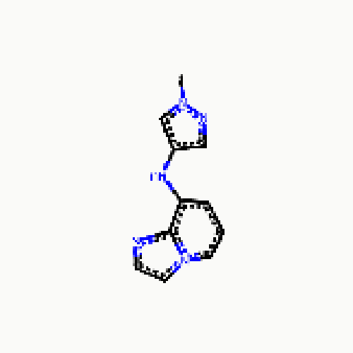 Cn1cc(Nc2cccn3ccnc23)cn1